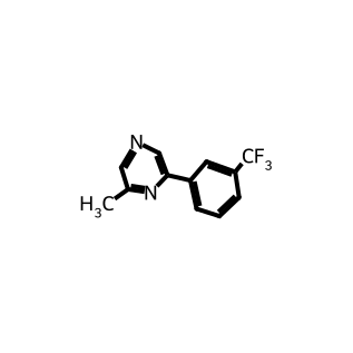 Cc1cncc(-c2cccc(C(F)(F)F)c2)n1